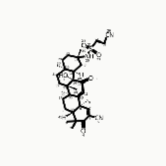 CC1(C)C(=O)C(C#N)=C[C@]2(C)C3=CC(=O)[C@]4(O)[C@@H]5C[C@@](C)(NS(=O)(=O)CCC#N)CC[C@]5(C)CC[C@@]4(C)[C@]3(C)CC[C@@H]12